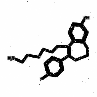 NCCCCCCC1=C(c2ccc(F)cc2)CCCc2cc(O)ccc21